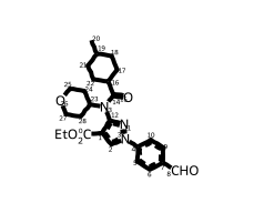 CCOC(=O)c1cn(-c2ccc(C=O)cc2)nc1N(C(=O)C1CCC(C)CC1)C1CCOCC1